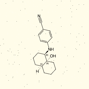 N#Cc1ccc(N[C@@H]2CCC[C@@H]3CCCC[C@@]32O)cc1